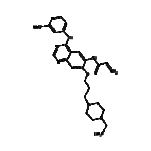 C=CC(=O)Nc1cc2c(Nc3cccc(OC)c3)ncnc2cc1OCCCN1CCN(CC(=O)OCC)CC1